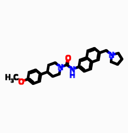 COc1ccc(C2CCN(C(=O)Nc3ccc4cc(CN5CCCC5)ccc4c3)CC2)cc1